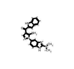 CN(C)c1nc2cc(-n3ncc(C(=O)c4cc5ccccc5[nH]4)c3N)ccc2[nH]1